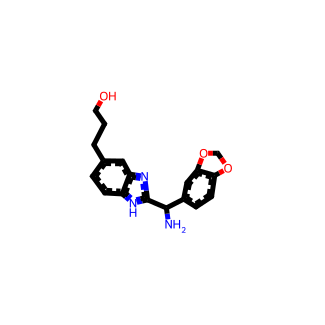 NC(c1ccc2c(c1)OCO2)c1nc2cc(CCCO)ccc2[nH]1